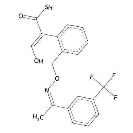 C/C(=N/OCc1ccccc1/C(=C\O)C(=O)S)c1cccc(C(F)(F)F)c1